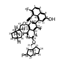 C#Cc1c(F)ccc2cc(O)cc(-c3nc4c5c(nc(OC[C@]67CCCN6C[C@@H](F)C7)nc5c3F)N3C[C@@H]5CC[C@@H](N5)[C@@H]3CO4)c12